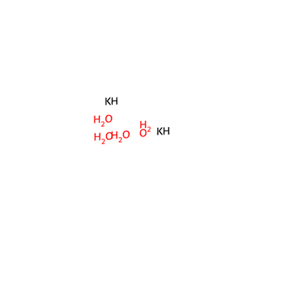 O.O.O.O.[KH].[KH]